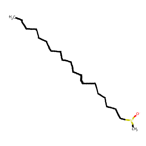 [CH2]CCCCCCCCCCCCCCCCCC[S+](C)[O-]